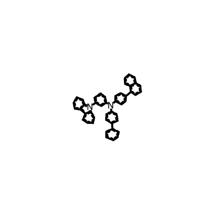 c1ccc(-c2ccc(N(c3ccc(-c4cccc5ccccc45)cc3)c3cccc(-n4c5ccccc5c5ccccc54)c3)cc2)cc1